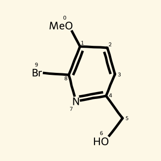 COc1ccc(CO)nc1Br